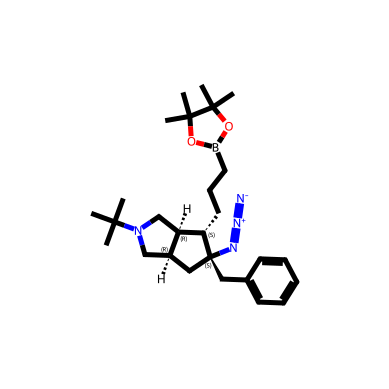 CC(C)(C)N1C[C@@H]2C[C@@](Cc3ccccc3)(N=[N+]=[N-])[C@@H](CCCB3OC(C)(C)C(C)(C)O3)[C@@H]2C1